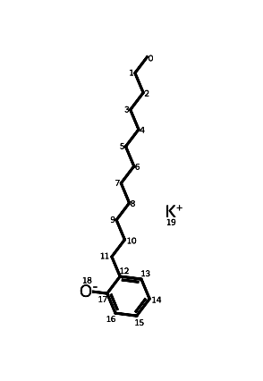 CCCCCCCCCCCCc1ccccc1[O-].[K+]